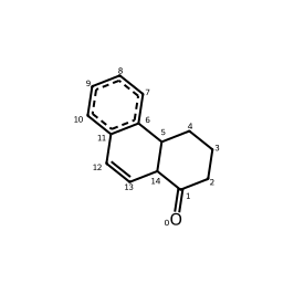 O=C1CCCC2c3ccccc3C=CC12